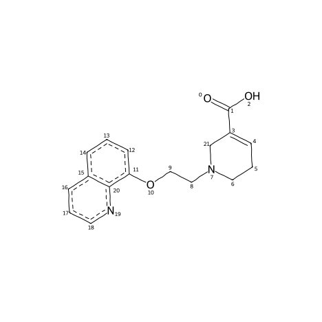 O=C(O)C1=CCCN(CCOc2cccc3cccnc23)C1